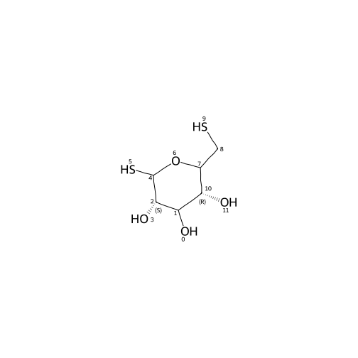 OC1[C@H](O)C(S)OC(CS)[C@@H]1O